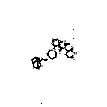 Cc1nc2cccc(N3CCCN(CCC45CC6CC(CC(C6)C4)C5)CC3)c2c(=O)n1C1CCC(=O)NC1=O